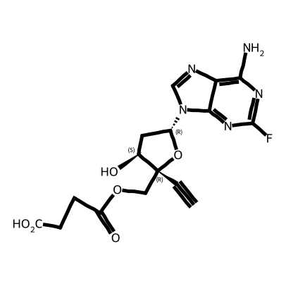 C#C[C@]1(COC(=O)CCC(=O)O)O[C@@H](n2cnc3c(N)nc(F)nc32)C[C@@H]1O